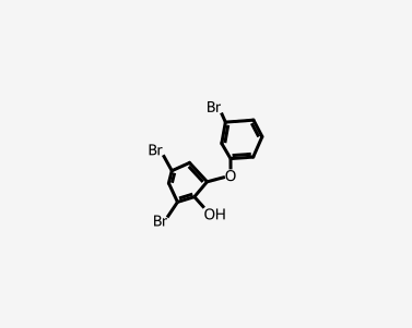 Oc1c(Br)cc(Br)cc1Oc1cccc(Br)c1